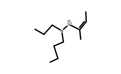 CC=C(C)[SiH2]N(CCC)CCCC